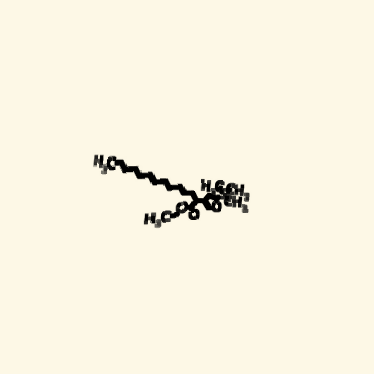 CCCCCCCCCCCCC(C(=O)OCC)c1coc([Si](C)(C)C)c1